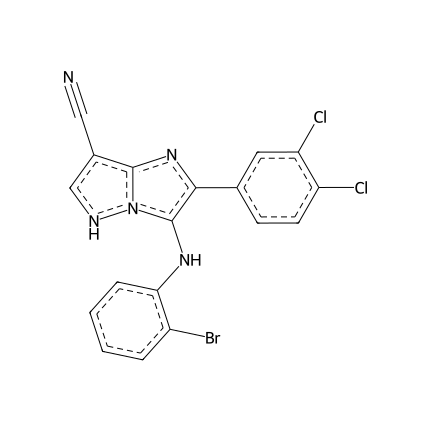 N#Cc1c[nH]n2c(Nc3ccccc3Br)c(-c3ccc(Cl)c(Cl)c3)nc12